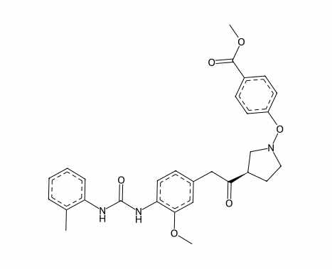 COC(=O)c1ccc(ON2CC[C@@H](C(=O)Cc3ccc(NC(=O)Nc4ccccc4C)c(OC)c3)C2)cc1